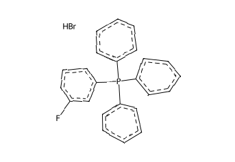 Br.Fc1cccc([P](c2ccccc2)(c2ccccc2)c2ccccc2)c1